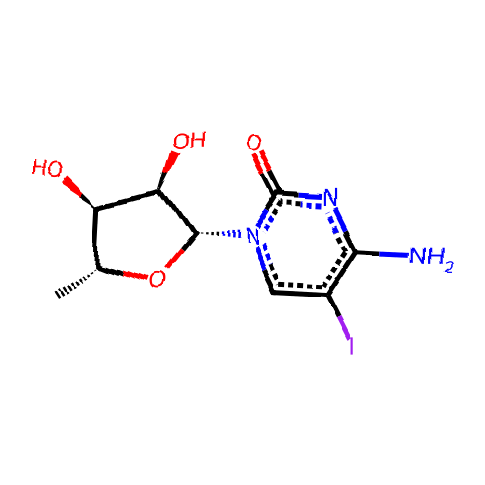 C[C@H]1O[C@@H](n2cc(I)c(N)nc2=O)[C@H](O)[C@@H]1O